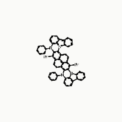 CC(C)c1c2c(c3ccc4c(C(C)C)c5c(c6ccc1c3c46)-n1c3ccccc3c3cccc(c31)B5c1ccccc1)N(c1ccccc1)c1cccc3c1B2c1ccccc1-3